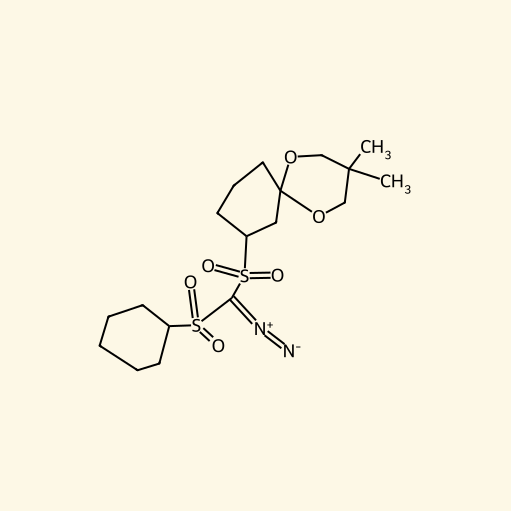 CC1(C)COC2(CCCC(S(=O)(=O)C(=[N+]=[N-])S(=O)(=O)C3CCCCC3)C2)OC1